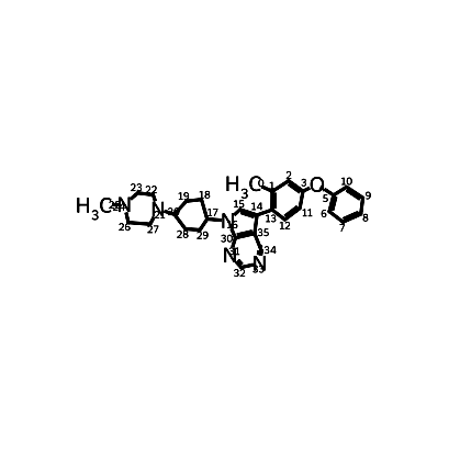 Cc1cc(Oc2ccccc2)ccc1-c1cn(C2CCC(N3CCN(C)CC3)CC2)c2ncn[c]c12